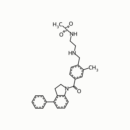 Cc1cc(C(=O)N2CCc3c(-c4ccccc4)cccc32)ccc1CNCCNS(C)(=O)=O